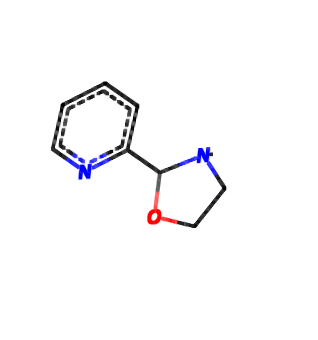 c1ccc(C2[N]CCO2)nc1